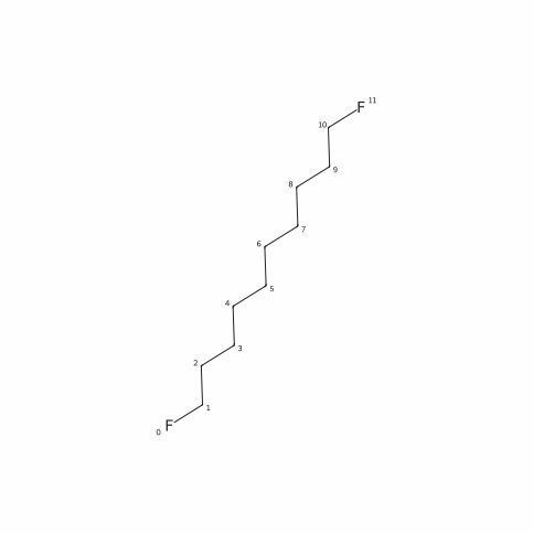 FCCCCCCCCCCF